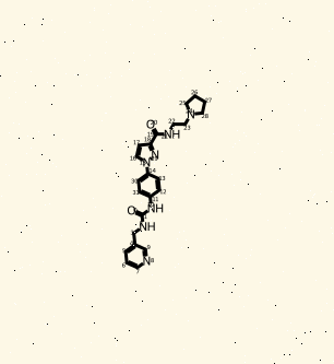 O=C(NCc1cccnc1)Nc1ccc(-n2ccc(C(=O)NCCN3CCCC3)n2)cc1